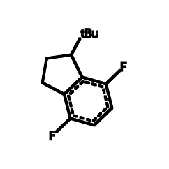 CC(C)(C)C1CCc2c(F)ccc(F)c21